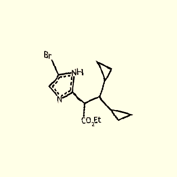 CCOC(=O)C(c1ncc(Br)[nH]1)C(C1CC1)C1CC1